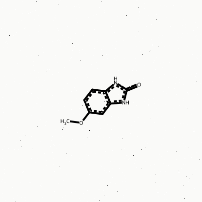 COc1ccc2[nH]c(=O)[nH]c2c1